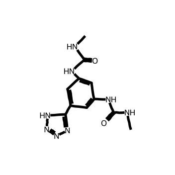 CNC(=O)Nc1cc(NC(=O)NC)cc(-c2nnn[nH]2)c1